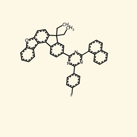 CCC1(CC)c2cc(-c3nc(-c4ccc(F)cc4)nc(-c4cccc5ccccc45)n3)ccc2-c2c1ccc1oc3ccccc3c21